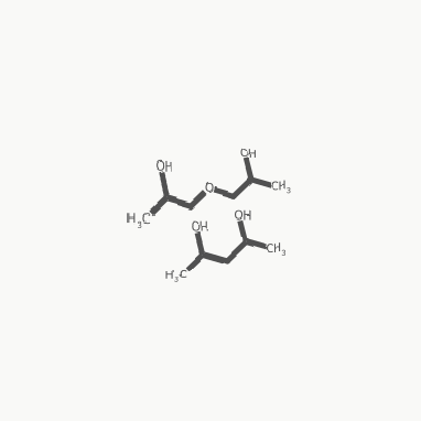 CC(O)CC(C)O.CC(O)COCC(C)O